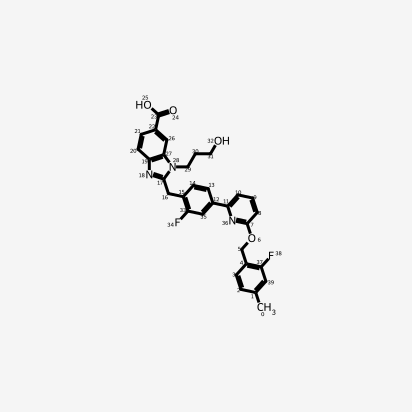 Cc1ccc(COc2cccc(-c3ccc(Cc4nc5ccc(C(=O)O)cc5n4CCCO)c(F)c3)n2)c(F)c1